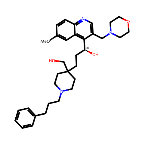 COc1ccc2ncc(CN3CCOCC3)c([C@@H](O)CCC3(CO)CCN(CCCc4ccccc4)CC3)c2c1